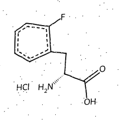 Cl.N[C@H](Cc1ccccc1F)C(=O)O